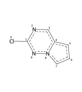 Clc1n[c]c2cccn2n1